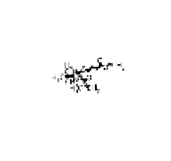 CCOC(=O)CCCSc1nc(C(C)(C)C)nn1C(=O)N(C)C